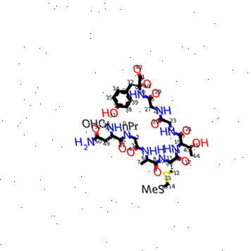 CCCN(CC(=O)NC(C)C(=O)N[C@@H](CSCSC)C(=O)NC(C(=O)NCC(=O)NCC(=O)N[C@@]1(Cc2ccc(O)cc2)OC1=O)C(C)O)C(=O)C(CC(N)=O)NC=O